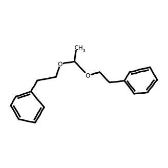 CC(OCCc1ccccc1)OCCc1ccccc1